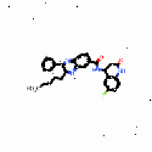 O=C(O)CCCCc1nc2cc(C(=O)NC3CC(=O)Nc4ccc(F)cc43)ccc2nc1-c1ccccc1